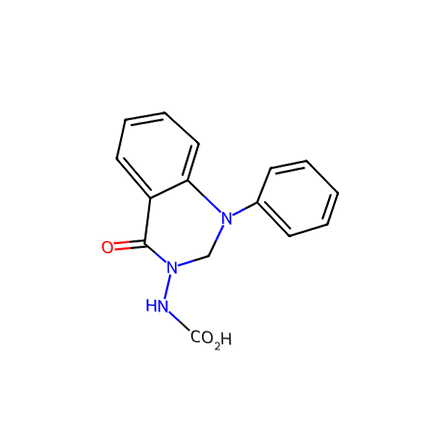 O=C(O)NN1CN(c2ccccc2)c2ccccc2C1=O